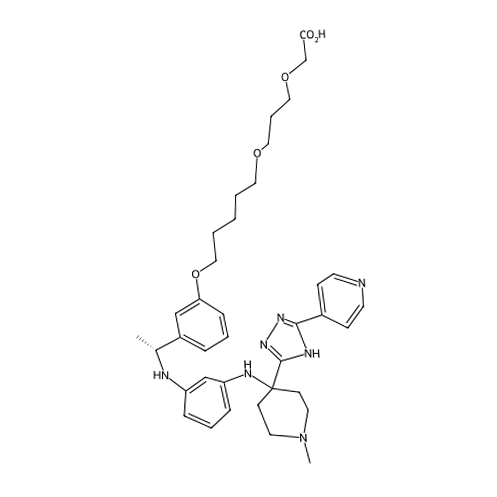 C[C@@H](Nc1cccc(NC2(c3nnc(-c4ccncc4)[nH]3)CCN(C)CC2)c1)c1cccc(OCCCCCOCCCOCC(=O)O)c1